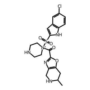 CC1Cc2oc(C(=O)[N+]3(S(=O)(=O)c4cc5cc(Cl)ccc5[nH]4)CCNCC3)nc2CN1